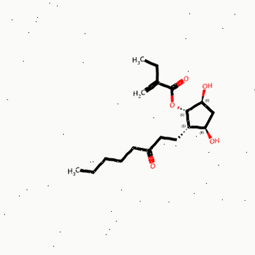 C=C(CC)C(=O)O[C@H]1[C@@H](CCC(=O)CCCCC)[C@H](O)C[C@@H]1O